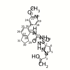 C=C(O)Cn1ccc(S(=N)(=O)NC(=O)Nc2c(-c3ccnc(OC)c3)ccc3c2CCC3)n1